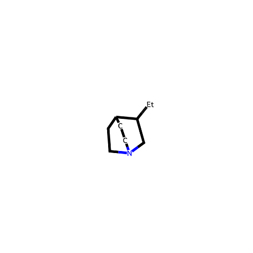 CCC1CN2CCC1CC2